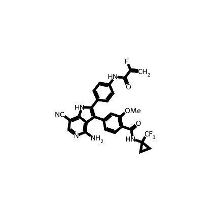 C=C(F)C(=O)Nc1ccc(-c2[nH]c3c(C#N)cnc(N)c3c2-c2ccc(C(=O)NC3(C(F)(F)F)CC3)c(OC)c2)cc1